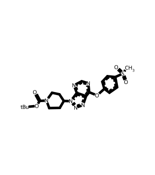 CC(C)(C)OC(=O)N1CCC(n2nnc3c(Oc4ccc(S(C)(=O)=O)cc4)ncnc32)CC1